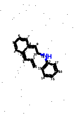 C=C/C=c1/cccc/c1=C/CNc1ccccc1